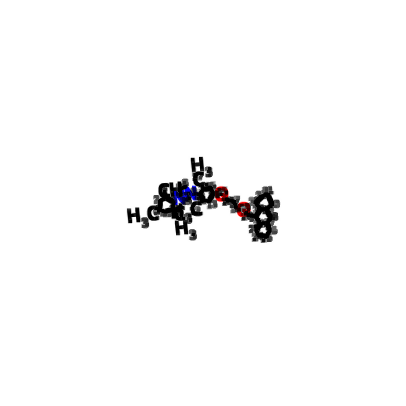 Cc1cc(C)c(N2CCN(c3c(C)cc(OCCCOCc4c5ccccc5cc5ccccc45)cc3C)C2)c(C)c1